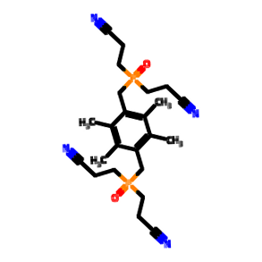 Cc1c(C)c(CP(=O)(CCC#N)CCC#N)c(C)c(C)c1CP(=O)(CCC#N)CCC#N